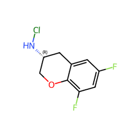 Fc1cc(F)c2c(c1)C[C@@H](NCl)CO2